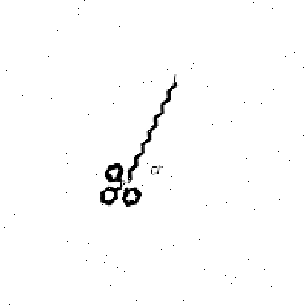 ICCCCCCCCCCCCC=CC[P+](c1ccccc1)(c1ccccc1)c1ccccc1.[Cl-]